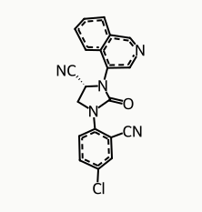 N#Cc1cc(Cl)ccc1N1C[C@H](C#N)N(c2cncc3ccccc23)C1=O